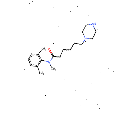 Cc1cccc(C)c1N(C)C(=O)CCCCCN1CCNCC1